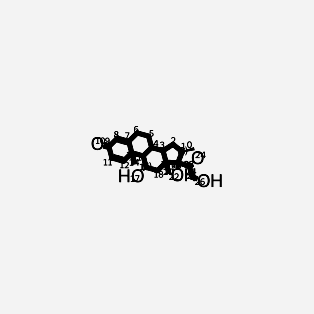 C[C@@H]1CC2C3CCC4=CC(=O)C=CC4(C)C3[C@@H](O)CC2(C)[C@@]1(O)C(=O)CO